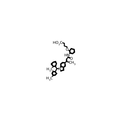 C/C(=C\C(=O)Nc1ccccc1OCCCC(=O)O)c1ccc2c(ccn2C(c2ccc(C)cc2)c2ccccc2C)c1